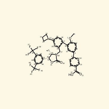 COc1ccc(-c2ccc(C(=O)O)cn2)cc1-c1ccc(N2CCC2)nc1CN1C(=O)O[C@H](c2cc(C(F)(F)F)cc(C(F)(F)F)c2)[C@@H]1C